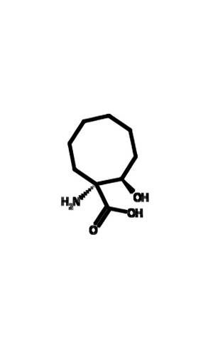 N[C@]1(C(=O)O)CCCCCC[C@H]1O